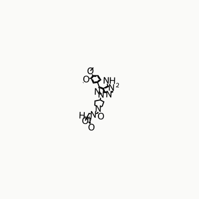 COc1ccc(-c2nn(C3CCN(C(=O)N4C[C@@H]5OC(=O)C54)CC3)c3ncnc(N)c23)cc1OC